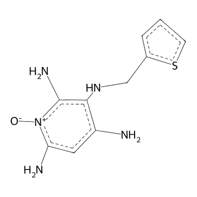 Nc1cc(N)[n+]([O-])c(N)c1NCc1cccs1